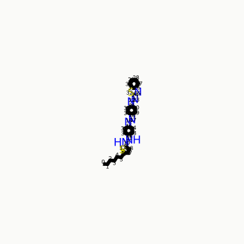 CCCCCCc1ccc(NNc2ccc(N=Nc3ccc(N=Nc4nc5ccccc5s4)cc3)cc2)s1